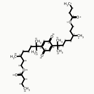 CCCC(=O)OCCC(C)CCCC(C)(C)C1=CC(=O)C(C(C)(C)CCCC(C)CCOC(=O)CCC)=CC1=O